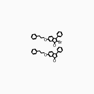 O=C1C(Br)=C(c2ccccc2)c2ccc(OCCCc3ccccc3)cc21.O=C1C=C(c2ccccc2)c2ccc(OCCCc3ccccc3)cc21